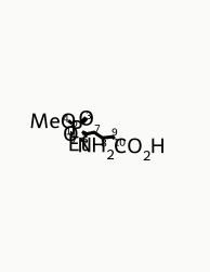 CCOP(=O)(OC)C(N)CCCC(=O)O